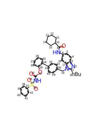 CCCCc1nc2ccc(NC(=O)C3CCCCC3)cc2n1Cc1ccc(-c2ccccc2OC(=O)NS(=O)(=O)c2ccccc2)cc1